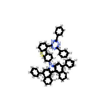 c1ccc(-c2nc(-c3ccccc3)nc(-c3cccc4sc5cc(-n6c7cc(-c8ccccc8)c8ccccc8c7c7c8ccccc8c(-c8ccccc8)cc76)ccc5c34)n2)cc1